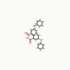 O=C1OC(=O)c2cc(Sc3ccccc3)cc3cc(Sc4ccccc4)cc1c23